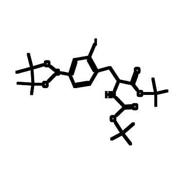 CC(C)(C)OC(=O)NC(Cc1ccc(B2OC(C)(C)C(C)(C)O2)cc1I)C(=O)OC(C)(C)C